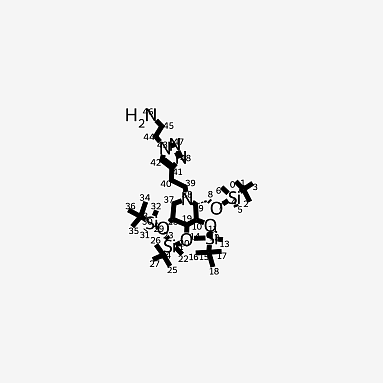 CC(C)(C)[Si](C)(C)OC[C@@H]1C(O[Si](C)(C)C(C)(C)C)C(O[Si](C)(C)C(C)(C)C)C(O[Si](C)(C)C(C)(C)C)CN1CCc1cn(CCN)nn1